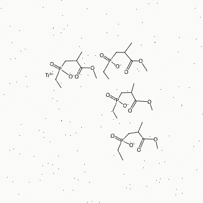 CCP(=O)([O-])CC(C)C(=O)OC.CCP(=O)([O-])CC(C)C(=O)OC.CCP(=O)([O-])CC(C)C(=O)OC.CCP(=O)([O-])CC(C)C(=O)OC.[Ti+4]